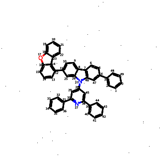 c1ccc(-c2ccc3c4ccc(-c5cccc6oc7ccccc7c56)cc4n(-c4cc(-c5ccccc5)nc(-c5ccccc5)c4)c3c2)cc1